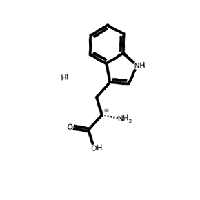 I.N[C@@H](Cc1c[nH]c2ccccc12)C(=O)O